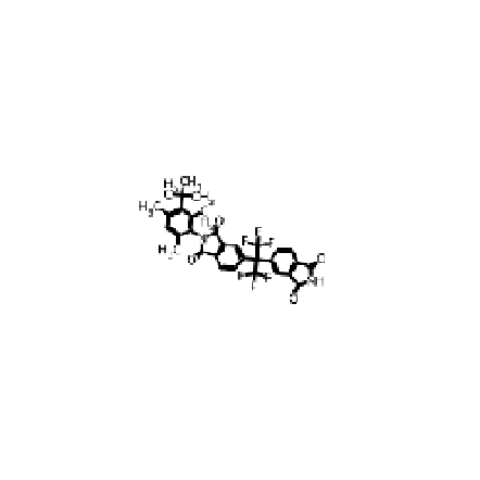 Cc1cc(C)c(C(C)(C)C)c(C)c1N1C(=O)c2ccc(C(c3ccc4c(c3)C(=O)NC4=O)(C(F)(F)F)C(F)(F)F)cc2C1=O